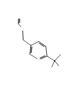 O=CNCc1ccc(C(F)(F)F)nc1